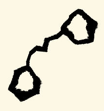 C(=Cc1ccccc1)Cc1ccccc1